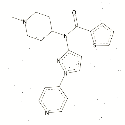 CN1CCC(N(C(=O)c2cccs2)c2ccn(-c3ccncc3)n2)CC1